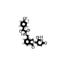 O=C1CCC(N2Cc3c(CNC(=O)C(=O)c4ccc(C(F)(F)F)cc4)cccc3C2=O)C(=O)N1